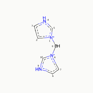 B([n+]1cc[nH]c1)[n+]1cc[nH]c1